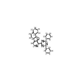 c1ccc(-c2nc(-c3ccccc3)nc(-c3nccc4c3oc3c5ccccc5ccc43)n2)cc1